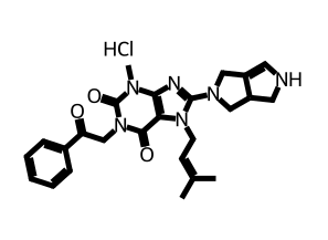 CC(C)=CCn1c(N2CC3=CNCC3C2)nc2c1c(=O)n(CC(=O)c1ccccc1)c(=O)n2C.Cl